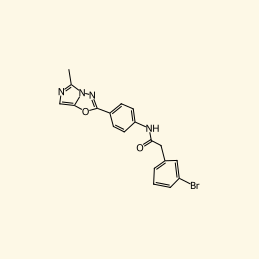 Cc1ncc2oc(-c3ccc(NC(=O)Cc4cccc(Br)c4)cc3)nn12